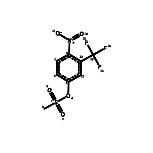 CS(=O)(=O)Oc1ccc([N+](=O)[O-])c(C(F)(F)F)c1